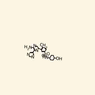 Cc1ccc(S(=O)(=O)NC2CCC(O)CC2)cc1-c1cnc(N)c(-c2cncnc2)n1